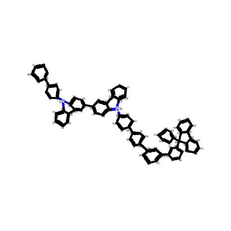 c1ccc(-c2ccc(-n3c4ccccc4c4cc(-c5ccc6c(c5)c5ccccc5n6-c5ccc(-c6ccc(-c7cccc(-c8cccc(C9(c%10ccccc%10)c%10ccccc%10-c%10ccccc%109)c8)c7)cc6)cc5)ccc43)cc2)cc1